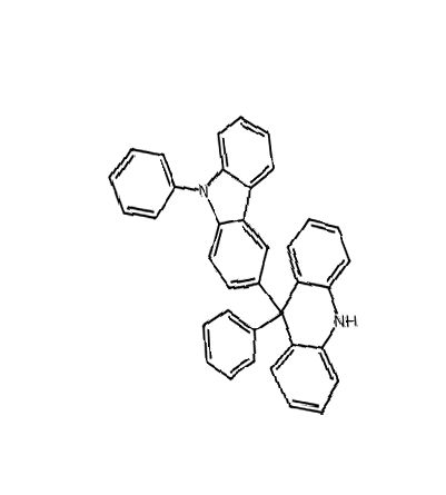 c1ccc(-n2c3ccccc3c3cc(C4(c5ccccc5)c5ccccc5Nc5ccccc54)ccc32)cc1